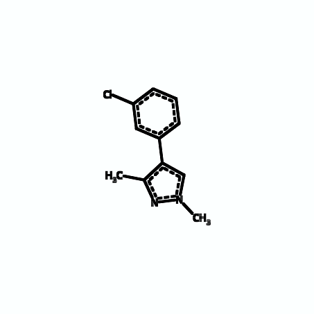 Cc1nn(C)cc1-c1cccc(Cl)c1